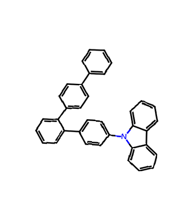 c1ccc(-c2ccc(-c3ccccc3-c3ccc(-n4c5ccccc5c5ccccc54)cc3)cc2)cc1